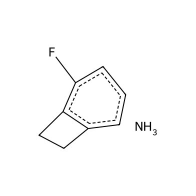 Fc1cccc2c1CC2.N